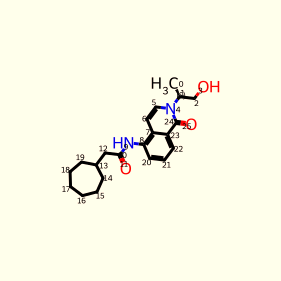 C[C@@H](CO)n1ccc2c(NC(=O)CC3CCCCCC3)cccc2c1=O